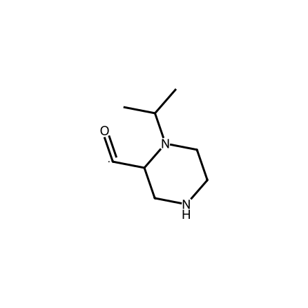 CC(C)N1CCNCC1[C]=O